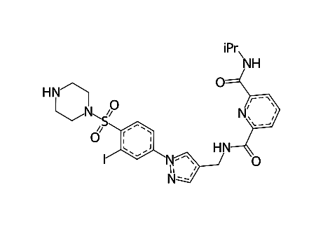 CC(C)NC(=O)c1cccc(C(=O)NCc2cnn(-c3ccc(S(=O)(=O)N4CCNCC4)c(I)c3)c2)n1